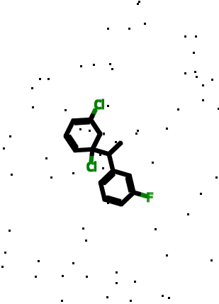 CC(c1cccc(F)c1)C1(Cl)[CH]C(Cl)=CC=C1